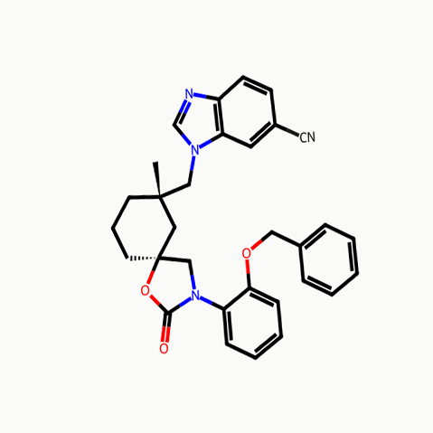 C[C@]1(Cn2cnc3ccc(C#N)cc32)CCC[C@@]2(CN(c3ccccc3OCc3ccccc3)C(=O)O2)C1